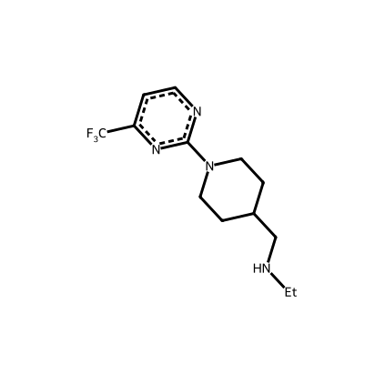 CCNCC1CCN(c2nccc(C(F)(F)F)n2)CC1